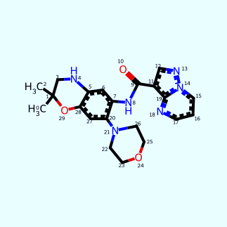 CC1(C)CNc2cc(NC(=O)c3cnn4cccnc34)c(N3CCOCC3)cc2O1